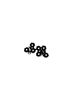 c1ccc2c(c1)Oc1ccc(-c3cccc4c3-c3ccccc3C43c4ccccc4-n4c3nc3ccccc34)c3c4ccccc4n-2c13